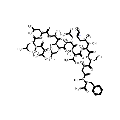 C/C=C/C[C@@H](C)[C@H](O)C(C(=O)N[C@H](CC)C(=O)N(C)CC(=O)N(C)[C@@H](Cc1ccccc1)C(N)=O)N(C)C(=O)[C@@H](C(C)C)N(C)C(=O)[C@@H](CC(C)C)N(C)C(=O)[C@H](CC(C)C)N(C)C(=O)[C@H](C)NC(=O)[C@H](CC(C)C)NC(=O)[C@@H](CC(C)C)N(C)C(=O)[C@@H](C)C(C)C